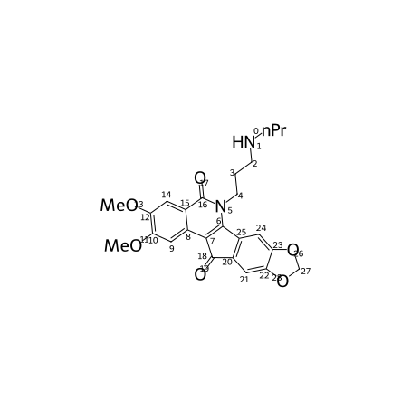 CCCNCCCn1c2c(c3cc(OC)c(OC)cc3c1=O)C(=O)c1cc3c(cc1-2)OCO3